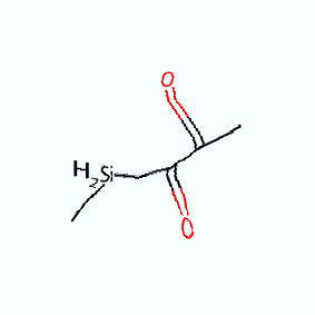 C[SiH2]C(=O)C(C)=O